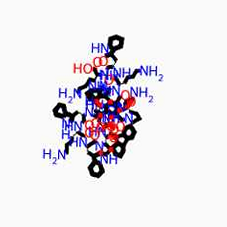 NCCCC[C@H](NC(=O)[C@H](Cc1c[nH]c2ccccc12)NC(=O)[C@H](CCCCN)NC(=O)[C@H](Cc1c[nH]c2ccccc12)NC(=O)[C@@H]1CCCN1C(=O)[C@H](CCCCN)NC(=O)[C@H](Cc1c[nH]c2ccccc12)NC(=O)[C@@H]1CCCN1C(=O)[C@H](Cc1c[nH]c2ccccc12)NC(=O)[C@H](CCCCN)NC(=O)[C@H](Cc1c[nH]c2ccccc12)NC(=O)[C@H](CCCCN)NC(=O)OCC1c2ccccc2-c2ccccc21)C(=O)O